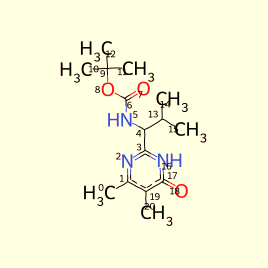 Cc1nc(C(NC(=O)OC(C)(C)C)C(C)C)[nH]c(=O)c1C